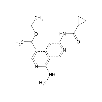 C=C(OCC)c1cnc(NC)c2cnc(NC(=O)C3CC3)cc12